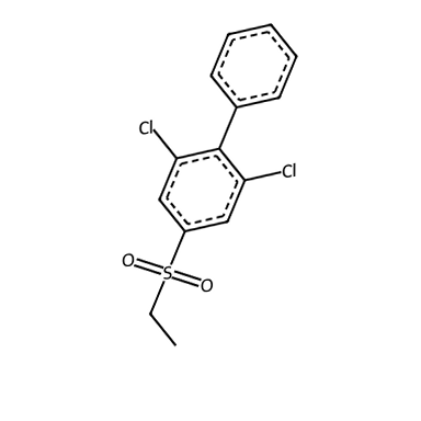 CCS(=O)(=O)c1cc(Cl)c(-c2ccccc2)c(Cl)c1